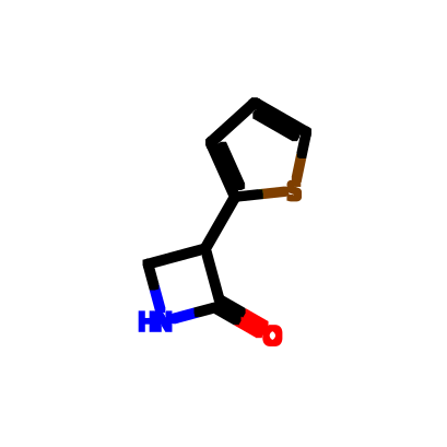 O=C1NCC1c1cccs1